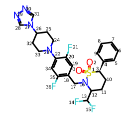 O=S1(=O)[C@@H](c2ccccc2)CCC(C(F)F)N1Cc1cc(F)c(N2CCC(n3cnnc3)CC2)cc1F